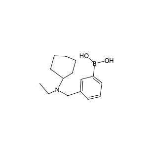 CCN(Cc1cccc(B(O)O)c1)C1CCCCC1